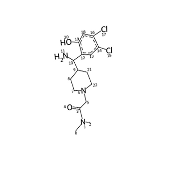 CN(C)C(=O)CN1CCC(C(N)c2cc(Cl)c(Cl)cc2O)CC1